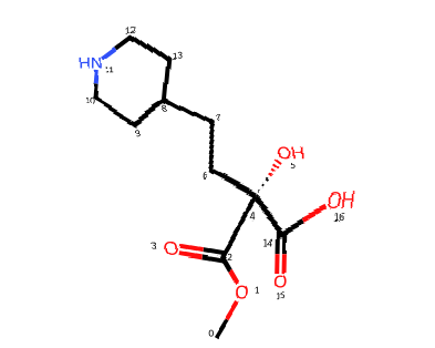 COC(=O)[C@@](O)(CCC1CCNCC1)C(=O)O